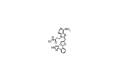 CCNC(=O)CCn1c(SC2=COC(c3ccccc3-c3cc[nH]n3)O2)nc2c(N)ncnc21